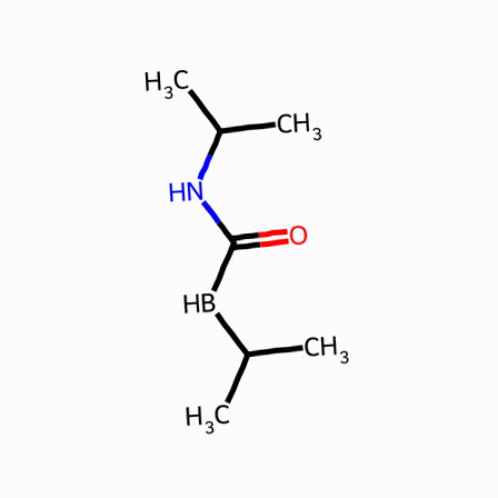 CC(C)BC(=O)NC(C)C